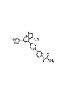 C=C(C(N)=O)c1ccc(N2CCC(c3cc(-c4cnn(C)c4)cn4ncc(C#N)c34)CC2)cn1